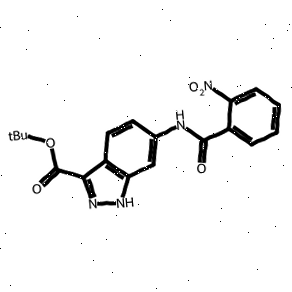 CC(C)(C)OC(=O)c1n[nH]c2cc(NC(=O)c3ccccc3[N+](=O)[O-])ccc12